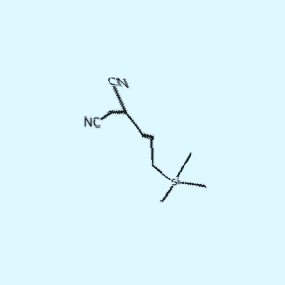 C[Si](C)(C)CCC(C#N)C#N